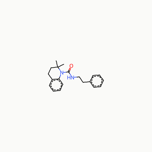 CC1(C)CCc2ccccc2N1C(=O)NCCc1ccccc1